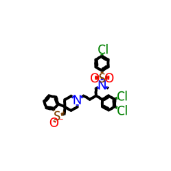 CN(CC(CCN1CCC2(CC1)C[S+]([O-])c1ccccc12)c1ccc(Cl)c(Cl)c1)S(=O)(=O)c1ccc(Cl)cc1